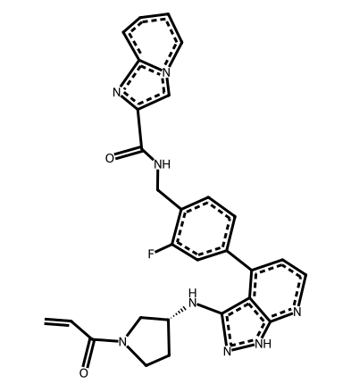 C=CC(=O)N1CC[C@@H](Nc2n[nH]c3nccc(-c4ccc(CNC(=O)c5cn6ccccc6n5)c(F)c4)c23)C1